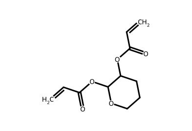 C=CC(=O)OC1CCCOC1OC(=O)C=C